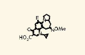 CO/N=C1/Cc2c(c(F)cc3c(=O)c(C(=O)O)cn(C4CC4)c23)N2CCCC2C1